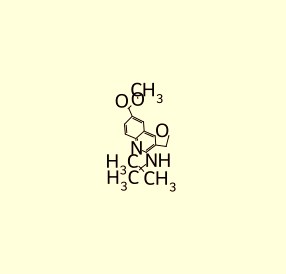 COC(=O)c1ccc2nc(NC(C)(C)C)c3c(c2c1)OCC3